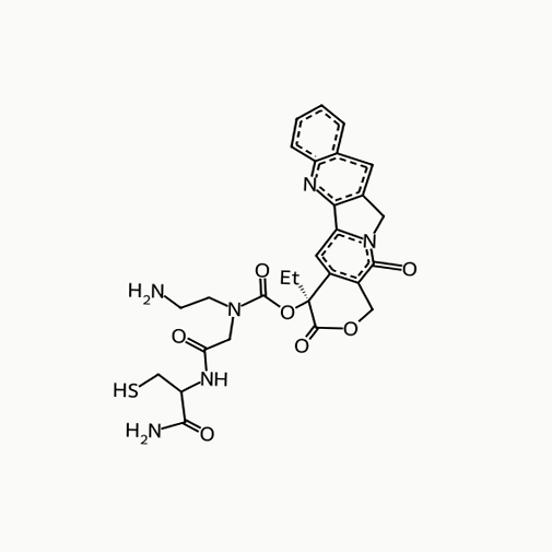 CC[C@@]1(OC(=O)N(CCN)CC(=O)NC(CS)C(N)=O)C(=O)OCc2c1cc1n(c2=O)Cc2cc3ccccc3nc2-1